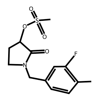 Cc1ccc(CN2CCC(OS(C)(=O)=O)C2=O)cc1F